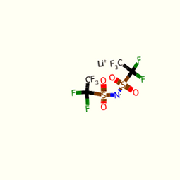 O=S(=O)([N]S(=O)(=O)C(F)(F)C(F)(F)F)C(F)(F)C(F)(F)F.[Li+]